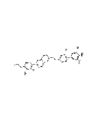 CCCc1ccc(-c2ccc3cc(CCc4ccc(-c5cc(F)c(F)c(F)c5)c(F)c4)ccc3c2)c(F)c1F